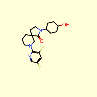 O=C1N(C2CCC(O)CC2)CCC12CCCN(c1ncc(F)cc1F)C2